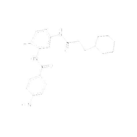 Cc1ccc(NC(=O)CCC2CCCCC2)cc1NC(=O)c1ccc([N+](=O)[O-])cc1